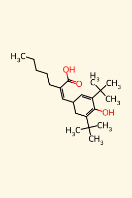 CCCCCC(=CC1C=C(C(C)(C)C)C(O)=C(C(C)(C)C)C1)C(=O)O